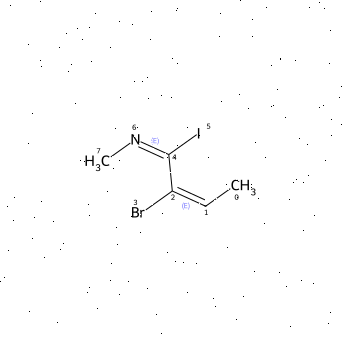 C/C=C(Br)\C(I)=N/C